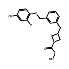 CC(C)(C)OC(=O)N1CC(Cc2cccc(COc3ccc(Cl)cc3Cl)c2)C1